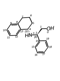 OC[C@H](N[C@H]1CCCc2ccccc21)c1ccccc1